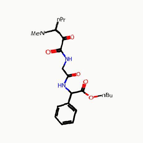 CCCCOC(=O)C(NC(=O)CNC(=O)C(=O)C(CCC)NC)c1ccccc1